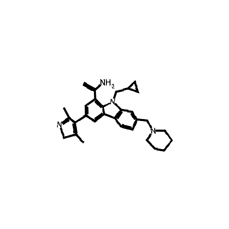 C=C(N)c1cc(C2=C(C)CN=C2C)cc2c3ccc(CN4CCCCC4)cc3n(CC3CC3)c12